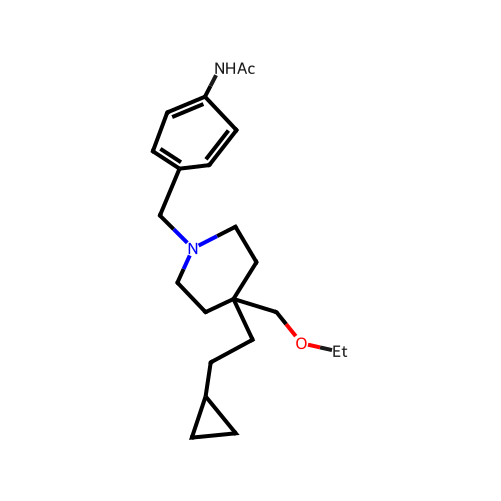 CCOCC1(CCC2CC2)CCN(Cc2ccc(NC(C)=O)cc2)CC1